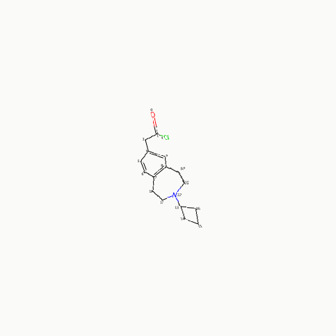 O=C(Cl)Cc1ccc2c(c1)CCN(C1CCC1)CC2